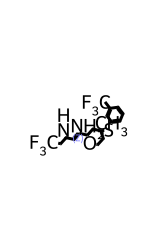 CC1(Sc2cccc(C(F)(F)F)c2)CCOC(/C(N)=C/C(=N)CC(F)(F)F)C1